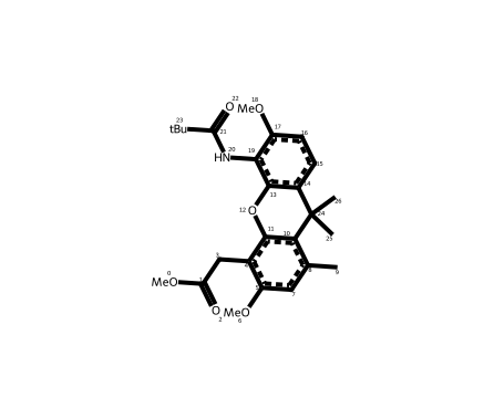 COC(=O)Cc1c(OC)cc(C)c2c1Oc1c(ccc(OC)c1NC(=O)C(C)(C)C)C2(C)C